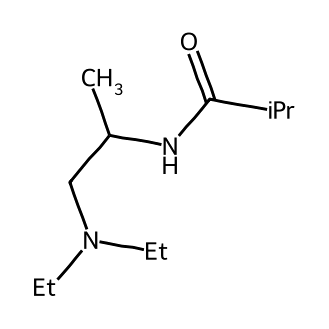 CCN(CC)CC(C)NC(=O)C(C)C